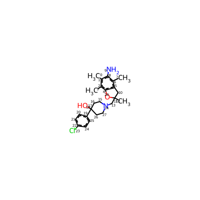 Cc1c(C)c2c(c(C)c1N)CC(C)(CN1CCC(O)(c3ccc(Cl)cc3)CC1)O2